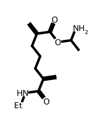 C=C(CCCC(=C)C(=O)OC(C)N)C(=O)NCC